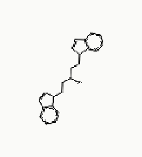 [Zr][CH](CCC1C=Cc2ccccc21)CCC1C=Cc2ccccc21